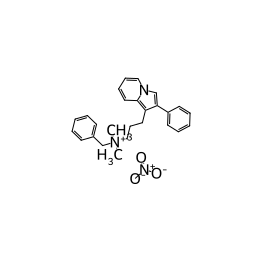 C[N+](C)(CCCc1c(-c2ccccc2)cn2ccccc12)Cc1ccccc1.O=[N+]([O-])[O-]